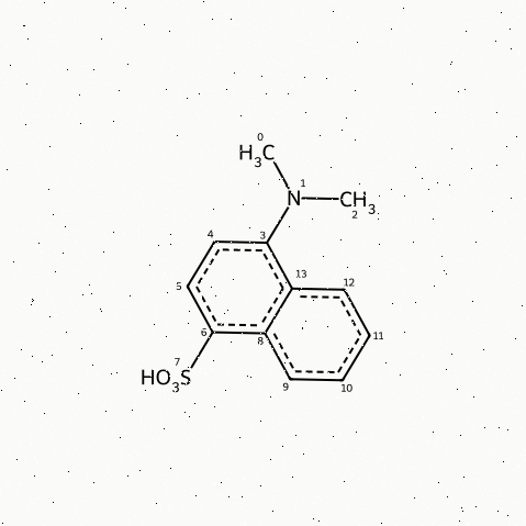 CN(C)c1ccc(S(=O)(=O)O)c2ccccc12